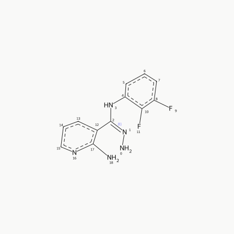 N/N=C(/Nc1cccc(F)c1F)c1cccnc1N